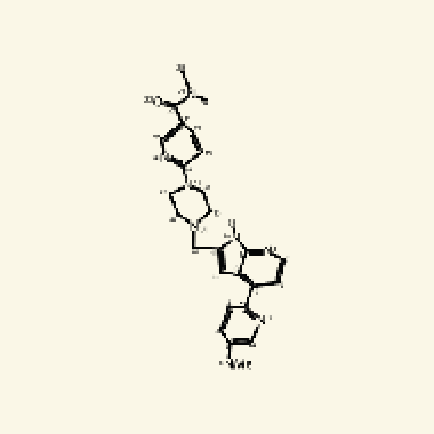 CNc1ccc(-c2ccnc3c2cc(CN2CCN(c4ccc(C(=O)N(C)C)cn4)CC2)n3C)nc1